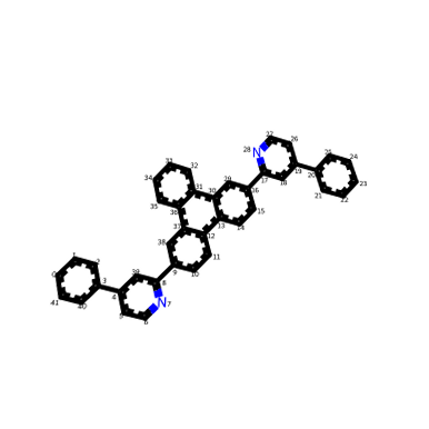 c1ccc(-c2ccnc(-c3ccc4c5ccc(-c6cc(-c7ccccc7)ccn6)cc5c5ccccc5c4c3)c2)cc1